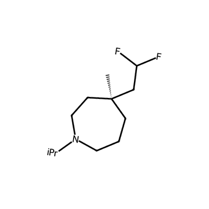 CC(C)N1CCC[C@](C)(CC(F)F)CC1